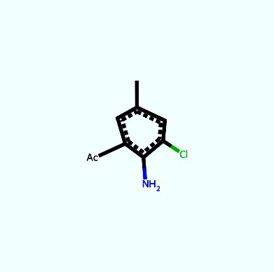 CC(=O)c1cc(C)cc(Cl)c1N